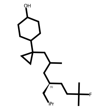 CC(C)C[C@H](CCC(C)(C)F)CC(C)CC1(C2CCC(O)CC2)CC1